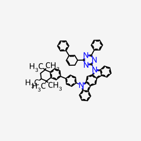 CC1CC(C)(C)c2ccc(-c3ccc(-n4c5ccccc5c5cc6c7ccccc7n(-c7nc(-c8ccccc8)nc(C8C=C(c9ccccc9)C=CC8)n7)c6cc54)cc3)cc2C1(C)C